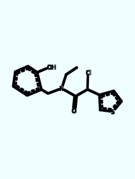 CCN(Cc1ccccc1O)C(=O)C(Cl)c1ccsc1